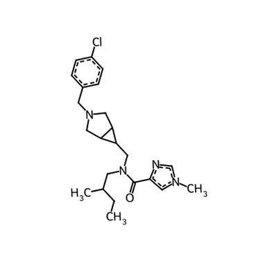 CCC(C)CN(CC1C2CN(Cc3ccc(Cl)cc3)CC21)C(=O)c1cn(C)cn1